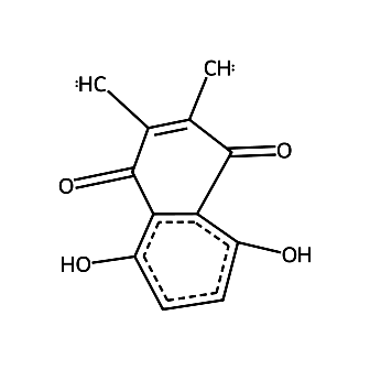 [CH]C1=C([CH])C(=O)c2c(O)ccc(O)c2C1=O